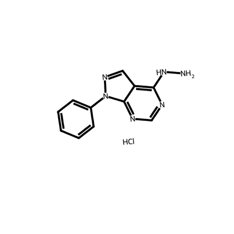 Cl.NNc1ncnc2c1cnn2-c1ccccc1